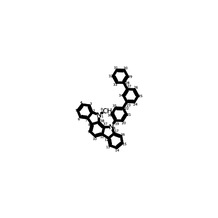 Cn1c2ccccc2c2ccc3c4ccccc4n(-c4ccc(-c5cccc(-c6ccccc6)c5)cc4)c3c21